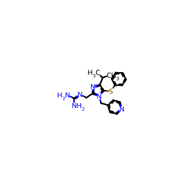 CC(C)c1nc(CN=C(N)N)n(Cc2ccncc2)c1Sc1ccccc1